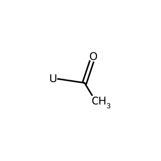 C[C](=O)[U]